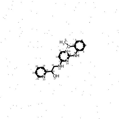 COc1ccccc1Nc1nccc(NCC(O)c2ccccn2)n1